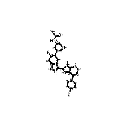 CCC(=O)Nc1cncc(-c2cc3c(-c4nc5c(-c6ccc(F)cc6)ccnc5[nH]4)n[nH]c3cc2F)c1